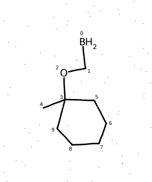 BCOC1(C)CCCCC1